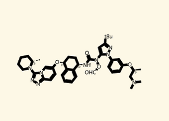 C[C@@H](CN(C)C)Oc1cccc(-n2nc(C(C)(C)C)cc2N(OC=O)C(=O)N[C@H]2CC[C@@H](Oc3ccc4nnc(N5CCCC[C@@H]5C)n4c3)c3ccccc32)c1